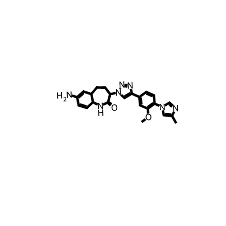 COc1cc(-c2cn(C3CCC4C=C(N)C=CC4NC3=O)nn2)ccc1-n1cnc(C)c1